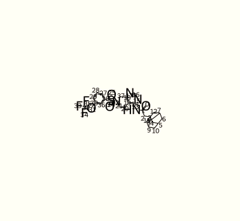 O=C(CC12CC3CC(CC(C3)C1)C2)Nc1ncnc2c1CCN(S(=O)(=O)c1cccc(OC(F)(F)F)c1)C2